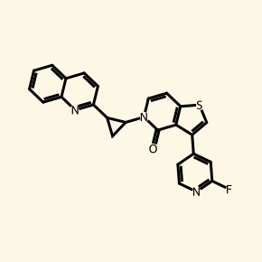 O=c1c2c(-c3ccnc(F)c3)csc2ccn1C1CC1c1ccc2ccccc2n1